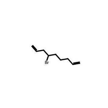 C=CCCCC(Br)CC=C